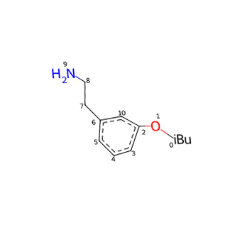 CCC(C)Oc1cccc(CCN)c1